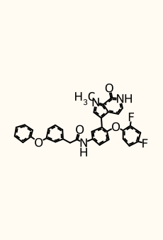 Cn1cc(-c2cc(NC(=O)Cc3cccc(Oc4ccccc4)c3)ccc2Oc2ccc(F)cc2F)c2cc[nH]c(=O)c21